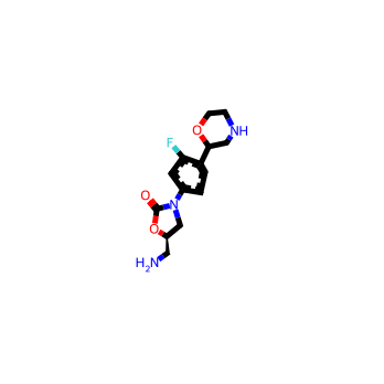 NC[C@@H]1CN(c2ccc(C3CNCCO3)c(F)c2)C(=O)O1